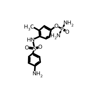 Cc1cc(OP(N)(N)=O)ccc1NS(=O)(=O)c1ccc(N)cc1